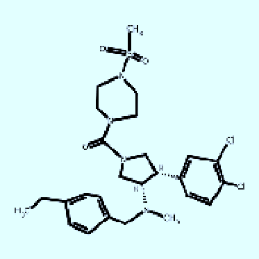 CCc1ccc(CN(C)[C@@H]2CN(C(=O)N3CCN(S(C)(=O)=O)CC3)C[C@@H]2c2ccc(Cl)c(Cl)c2)cc1